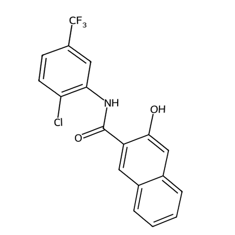 O=C(Nc1cc(C(F)(F)F)ccc1Cl)c1cc2ccccc2cc1O